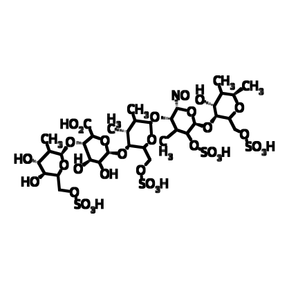 CC1[C@@H](O[C@H]2C(C)C(OS(=O)(=O)O)[C@H](O[C@@H]3C(COS(=O)(=O)O)O[C@H](C)C(C)[C@H]3O)O[C@H]2N=O)OC(COS(=O)(=O)O)[C@@H](O[C@@H]2OC(C(=O)O)[C@@H](O[C@H]3OC(COS(=O)(=O)O)[C@@H](O)[C@H](O)C3C)[C@H](O)C2O)[C@@H]1C